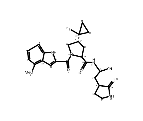 COc1cccc2[nH]c(C(=O)N3C[C@H](C4(F)CC4)CC3C(=O)NC(C#N)CC3CCNC3=O)cc12